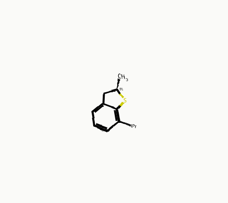 CC(C)c1cccc2c1S[C@H](C)C2